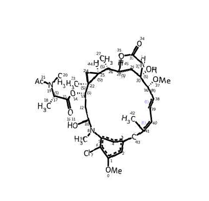 COc1cc2cc(c1Cl)N(C)C(O)C[C@H](OC(=O)[C@H](C)N(C)C(C)=O)[C@@]1(C)C[C@H]1[C@H](C)[C@@H]1C[C@@](O)(NC(=O)O1)[C@H](OC)/C=C/C=C(\C)C2